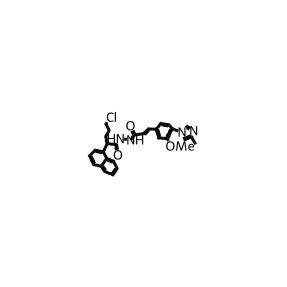 COc1cc(/C=C/C(=O)NNC(=O)C(CCCCl)c2cccc3ccccc23)ccc1-n1cnc(C)c1